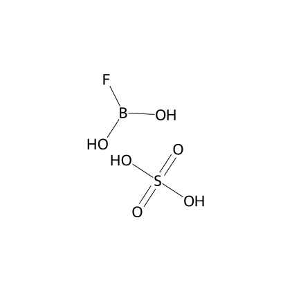 O=S(=O)(O)O.OB(O)F